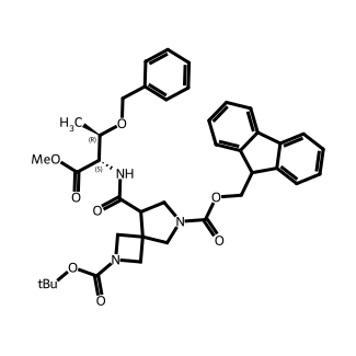 COC(=O)[C@@H](NC(=O)C1CN(C(=O)OCC2c3ccccc3-c3ccccc32)CC12CN(C(=O)OC(C)(C)C)C2)[C@@H](C)OCc1ccccc1